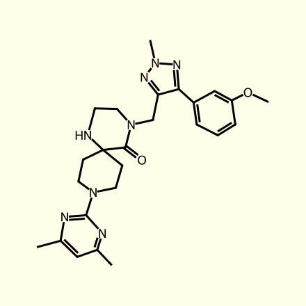 COc1cccc(-c2nn(C)nc2CN2CCNC3(CCN(c4nc(C)cc(C)n4)CC3)C2=O)c1